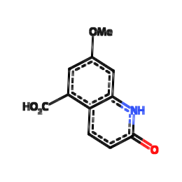 COc1cc(C(=O)O)c2ccc(=O)[nH]c2c1